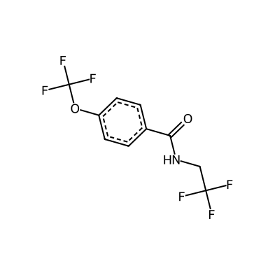 O=C(NCC(F)(F)F)c1ccc(OC(F)(F)F)cc1